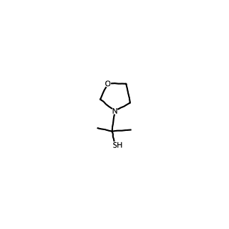 CC(C)(S)N1CCOC1